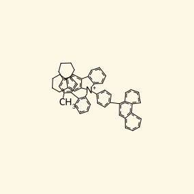 Cc1cc2c(cc1-c1ccccc1[N+]1(c3ccc(-c4cc5ccccc5c5ccccc45)cc3)c3ccccc3-c3cc4c(cc31)CCCC4)CCCC2